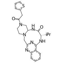 CC(C)[C@@H]1Nc2nc(nc3ccccc23)CN2CCN(C(=O)Cc3cccs3)CC2NC1=O